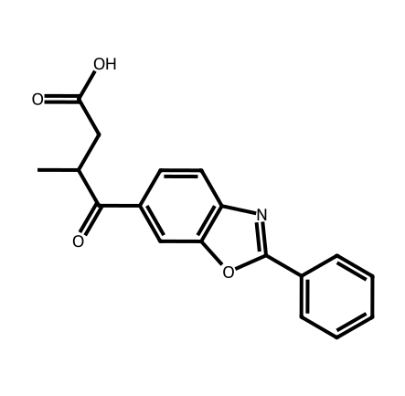 CC(CC(=O)O)C(=O)c1ccc2nc(-c3ccccc3)oc2c1